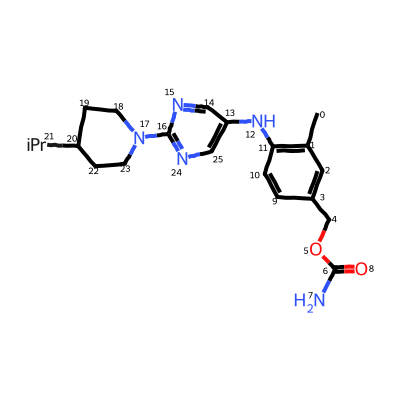 Cc1cc(COC(N)=O)ccc1Nc1cnc(N2CCC(C(C)C)CC2)nc1